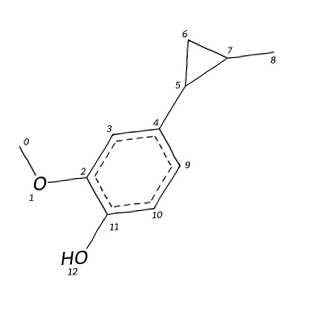 COc1cc(C2CC2C)ccc1O